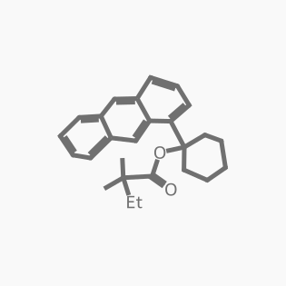 CCC(C)(C)C(=O)OC1(c2cccc3cc4ccccc4cc23)CCCCC1